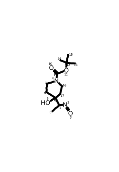 CC(N=O)C1(O)CCN(C(=O)OC(C)(C)C)CC1